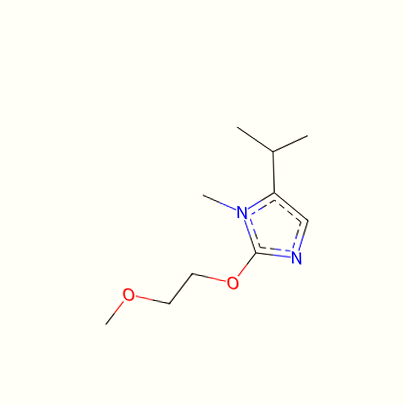 COCCOc1ncc(C(C)C)n1C